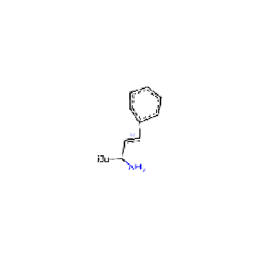 CCC(C)C(N)/C=C/c1ccccc1